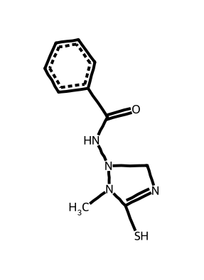 CN1C(S)=NCN1NC(=O)c1ccccc1